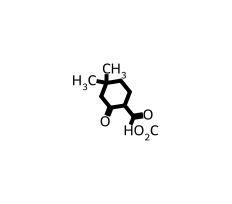 CC1(C)CCC(C(=O)C(=O)O)C(=O)C1